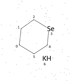 C1CC[Se]CC1.[KH]